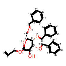 C=CCO[C@H]1O[C@H](COCc2ccccc2)[C@H](OCc2ccccc2)[C@H](OCc2ccccc2)[C@H]1O